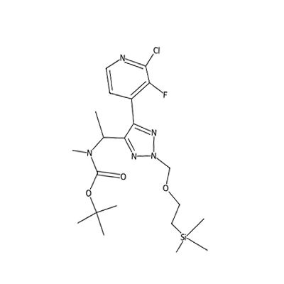 CC(c1nn(COCC[Si](C)(C)C)nc1-c1ccnc(Cl)c1F)N(C)C(=O)OC(C)(C)C